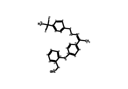 CC(=NOCc1ccc(C(C)(F)F)cc1)c1ccc(Oc2ccccc2CC=O)cc1